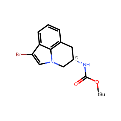 CC(C)(C)OC(=O)N[C@H]1Cc2cccc3c(Br)cn(c23)C1